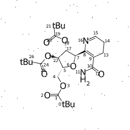 CC(C)(C)C(=O)OC[C@H]1O[C@H](C2=C(C(N)=O)CCC=N2)[C@@H](OC(=O)C(C)(C)C)[C@@H]1OC(=O)C(C)(C)C